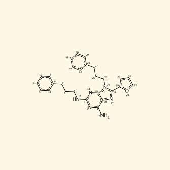 Nc1nc(NCCCc2ccccc2)nc2c1nc(-c1ccco1)n2CCCc1ccncc1